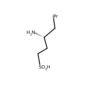 CC(C)C[C@@H](N)CCS(=O)(=O)O